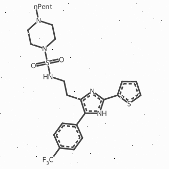 CCCCCN1CCN(S(=O)(=O)NCCc2nc(-c3cccs3)[nH]c2-c2ccc(C(F)(F)F)cc2)CC1